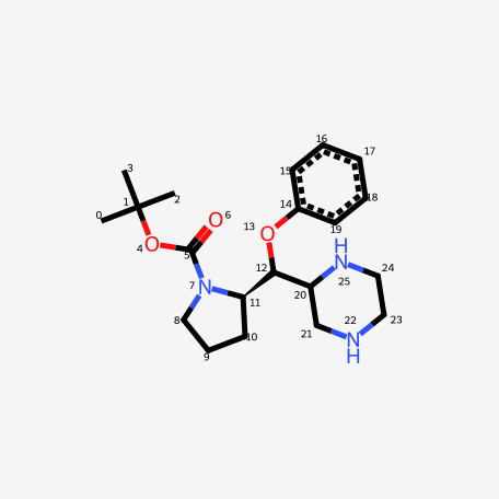 CC(C)(C)OC(=O)N1CCC[C@@H]1C(Oc1ccccc1)C1CNCCN1